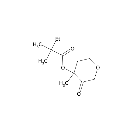 CCC(C)(C)C(=O)OC1(C)CCOCC1=O